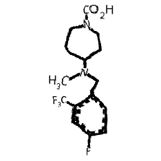 CN(Cc1ccc(F)cc1C(F)(F)F)C1CCN(C(=O)O)CC1